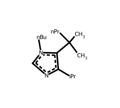 CCCCn1cnc(C(C)C)c1C(C)(C)CCC